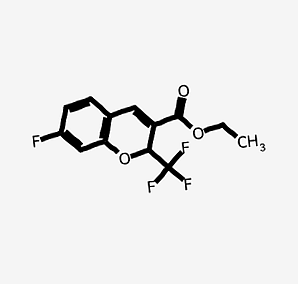 CCOC(=O)C1=Cc2ccc(F)cc2OC1C(F)(F)F